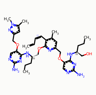 C=C/C=C\c1c(C)cc(COc2cnc(N)nc2N[C@H](CO)CCC)nc1OC[C@H](CCC)Nc1nc(N)ncc1OCc1cc(C)n(C)n1